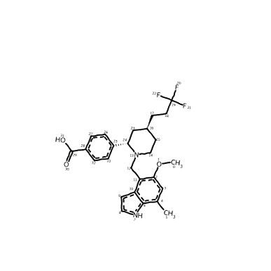 COc1cc(C)c2[nH]ccc2c1CN1CC[C@H](CCC(F)(F)F)C[C@H]1c1ccc(C(=O)O)cc1